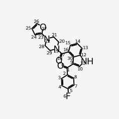 O=C(c1ccc(F)cc1)c1c[nH]c2cccc(C(=O)N3CCN(c4ccco4)CC3)c12